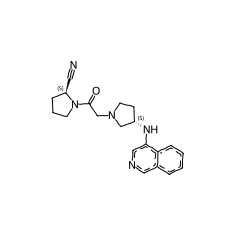 N#C[C@@H]1CCCN1C(=O)CN1CC[C@H](Nc2cncc3ccccc23)C1